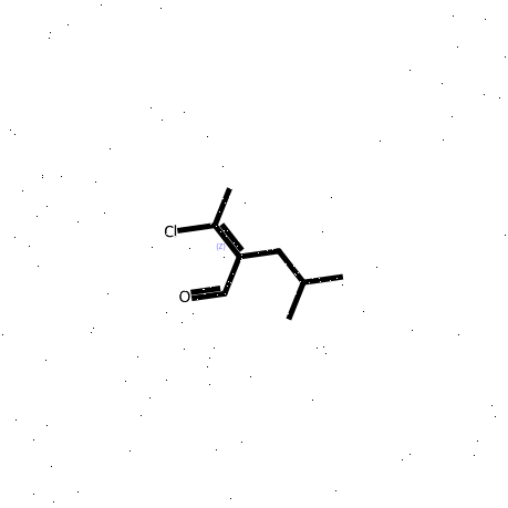 C/C(Cl)=C(/C=O)CC(C)C